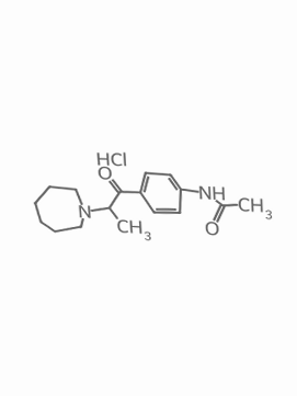 CC(=O)Nc1ccc(C(=O)C(C)N2CCCCCC2)cc1.Cl